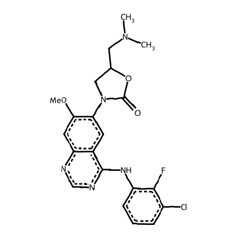 COc1cc2ncnc(Nc3cccc(Cl)c3F)c2cc1N1CC(CN(C)C)OC1=O